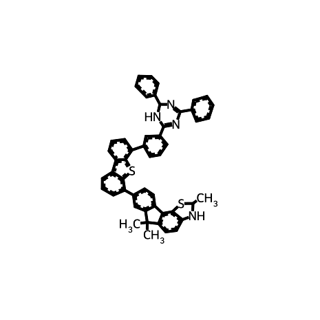 CC1Nc2ccc3c(c2S1)-c1ccc(-c2cccc4c2sc2c(-c5cccc(C6=NC(c7ccccc7)=NC(c7ccccc7)N6)c5)cccc24)cc1C3(C)C